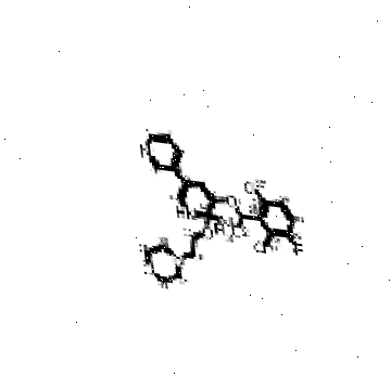 CC(OC1=CC(c2cccnc2)=CNC1(N)OCCN1CCOCC1)c1c(Cl)ccc(F)c1Cl